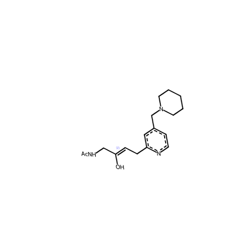 CC(=O)NC/C(O)=C/Cc1cc(CN2CCCCC2)ccn1